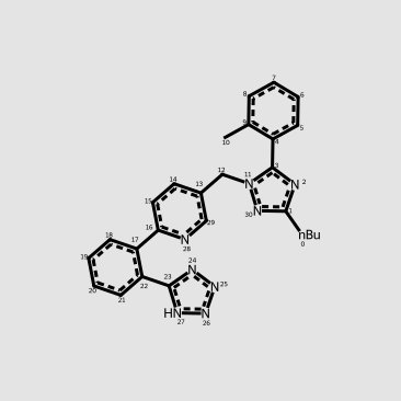 CCCCc1nc(-c2ccccc2C)n(Cc2ccc(-c3ccccc3-c3nnn[nH]3)nc2)n1